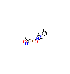 Cc1cccc(N2C(C)CN(C(=O)CSCc3c(C)noc3C)CC2C)c1